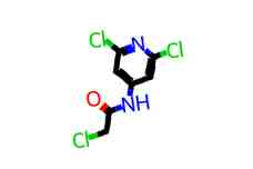 O=C(CCl)Nc1cc(Cl)nc(Cl)c1